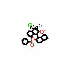 O=C(Oc1ccc2ccccc2c1-c1c([O-])ccc2ccccc12)c1ccccc1.[Cl-].[Mg+2]